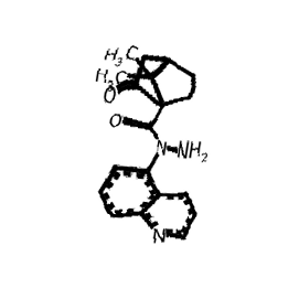 CC1(C)C2CCC1(C(=O)N(N)c1cccc3ncccc13)C(=O)C2